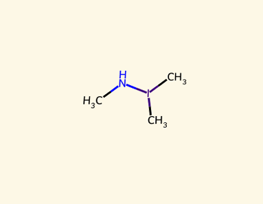 CNI(C)C